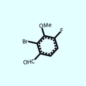 COc1c(F)ccc(C=O)c1Br